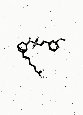 COc1cccc(/C=C/S(=O)(=O)NC2CC3CCC2C(/C=C/CCCC(=O)O)C3)c1